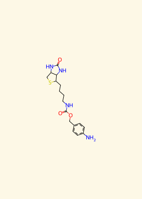 Nc1ccc(COC(=O)NCCCCC2SCC3NC(=O)NC32)cc1